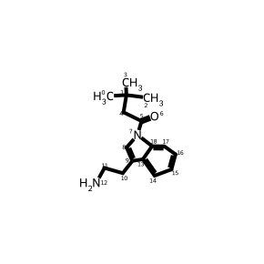 CC(C)(C)CC(=O)n1cc(CCN)c2ccccc21